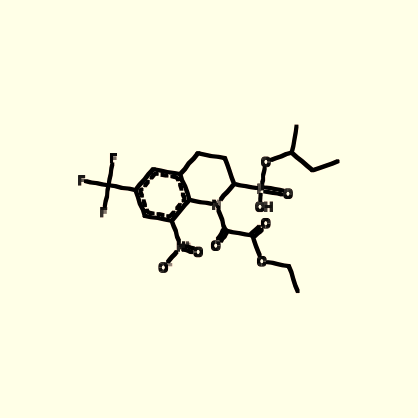 CCOC(=O)C(=O)N1c2c(cc(C(F)(F)F)cc2[N+](=O)[O-])CCC1P(=O)(O)OC(C)CC